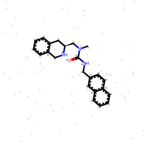 CN(C[C@@H]1Cc2ccccc2CN1)C(=O)NCc1ccc2ccccc2c1